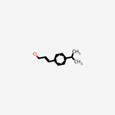 CC(C)c1ccc(C=CC[O])cc1